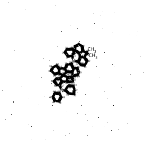 CC1(C)c2ccccc2-c2c(N(c3ccccc3)c3cc4c(c5ccccc35)C3(c5ccccc5-4)c4ccccc4-c4c(N(c5ccccc5)c5ccccc5)cccc43)cccc21